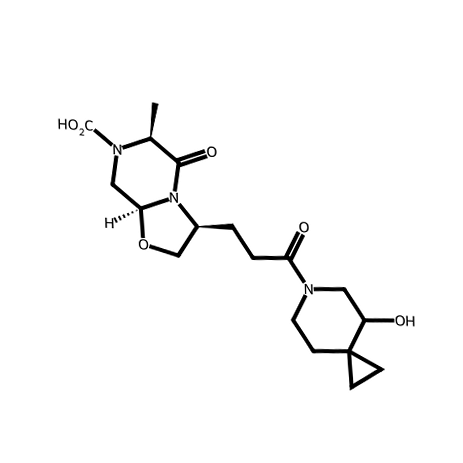 C[C@H]1C(=O)N2[C@@H](CCC(=O)N3CCC4(CC4)C(O)C3)CO[C@H]2CN1C(=O)O